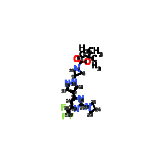 CC(C)(C)OC(=O)N1CC(n2cc(-c3cc(C(F)(F)F)nc(N4CCC4)n3)cn2)C1